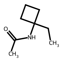 CCC1(NC(C)=O)CCC1